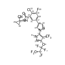 Cn1nc(OC(F)(F)C(F)C(F)(F)F)c(C(F)(F)F)c1-n1cc(-c2cc(F)c(Cl)c(C(=O)NC3(C#N)CC3)c2)cn1